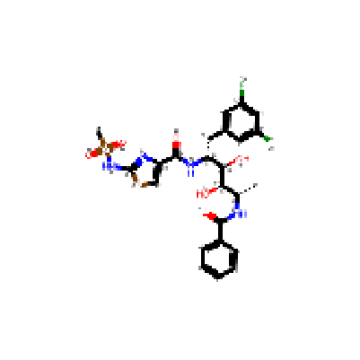 C[C@H](NC(=O)c1ccccc1)[C@@H](O)[C@H](O)[C@@H](Cc1cc(F)cc(F)c1)NC(=O)c1csc(NS(C)(=O)=O)n1